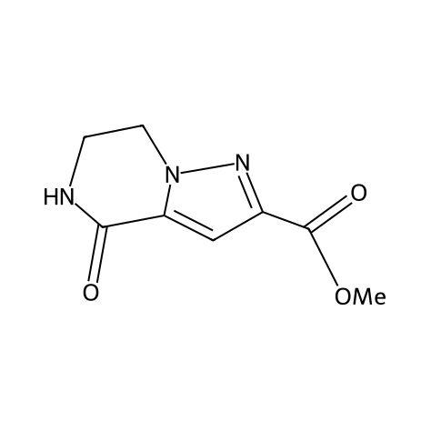 COC(=O)c1cc2n(n1)CCNC2=O